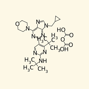 CC(C)(C)Nc1ncc(-c2nc(N3CCOCC3)c3ncn(CC4CC4)c3n2)c(C(C)(C)C)n1.O=C(O)OC(=O)O